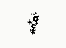 Cc1cc(Cn2nc(C(F)(F)C(F)(F)F)cc2SC(F)(F)F)ccc1[N+](=O)[O-]